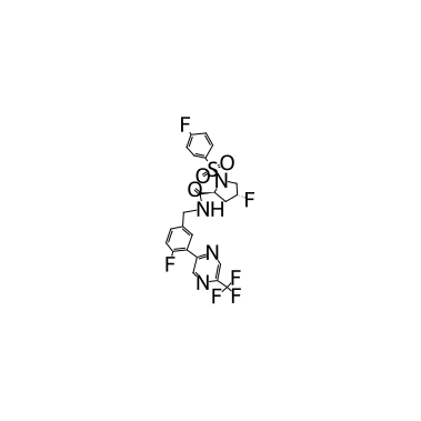 O=C(NCc1ccc(F)c(-c2cnc(C(F)(F)F)cn2)c1)[C@@H]1C[C@@H](F)CN1S(=O)(=O)c1ccc(F)cc1